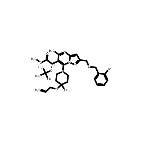 C=CCOC1(C)CCN(c2c([C@H](OC(C)(C)C)C(=O)OC)c(C)nc3cc(COCc4ccccc4Br)nn23)CC1